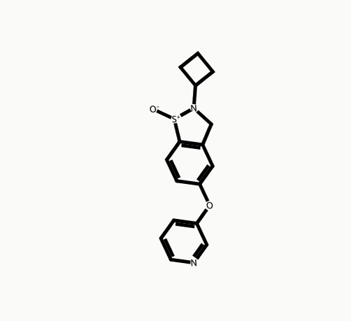 [O-][S+]1c2ccc(Oc3cccnc3)cc2CN1C1CCC1